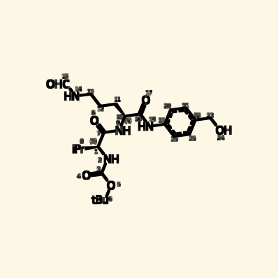 CC(C)[C@H](NC(=O)OC(C)(C)C)C(=O)N[C@@H](CCCNC=O)C(=O)Nc1ccc(CO)cc1